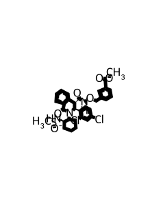 COC(=O)c1cccc(CONC(=O)[C@H]2c3ccccc3C(=O)N(C3CCCC[C@H]3N[S+](C)[O-])[C@@H]2c2ccc(Cl)cc2Cl)c1